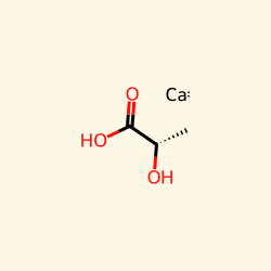 C[C@H](O)C(=O)O.[Ca]